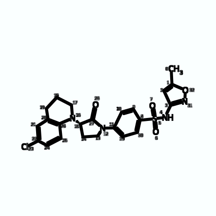 Cc1cc(NS(=O)(=O)c2ccc(N3CC[C@H](N4CCCc5cc(Cl)ccc54)C3=O)cc2)no1